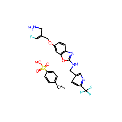 Cc1ccc(S(=O)(=O)O)cc1.NCC(=CF)COc1ccc2nc(NCc3ccc(C(F)(F)F)nc3)oc2c1